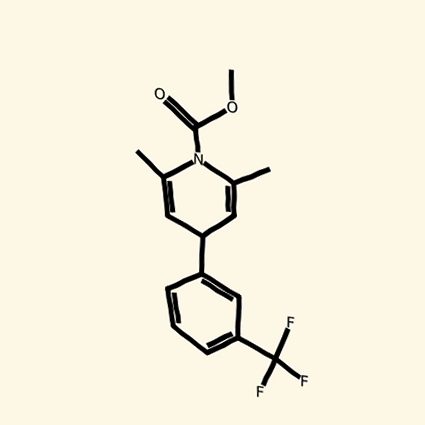 COC(=O)N1C(C)=CC(c2cccc(C(F)(F)F)c2)C=C1C